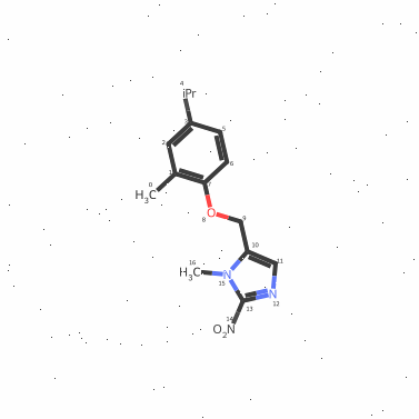 Cc1cc(C(C)C)ccc1OCc1cnc([N+](=O)[O-])n1C